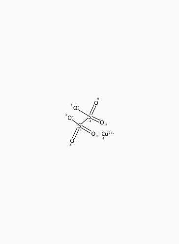 O=S(=O)([O-])S(=O)(=O)[O-].[Cu+2]